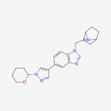 c1cc2c(cc1-c1cnn(C3CCCCO3)c1)ncn2CC1CC2CCC1N2